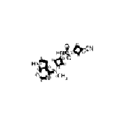 CN(c1ncnc2[nH]ccc12)[C@H]1C[C@@H](NS(=O)(=O)[C@H]2C[C@@H](C#N)C2)C1